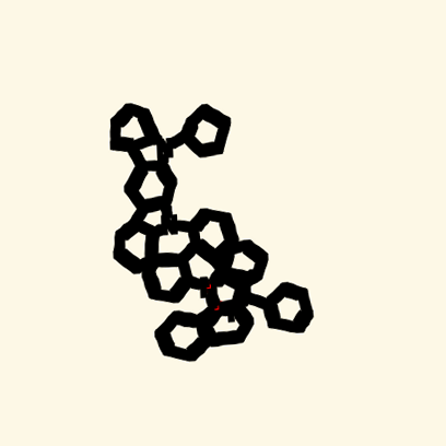 c1ccc(-c2cc(-c3cccc(-n4c5ccccc5c5cc6c7ccccc7n(-c7ccccc7)c6cc54)c3-c3ccccc3-n3c4ccccc4c4ccccc43)nc(-c3ccccc3)n2)cc1